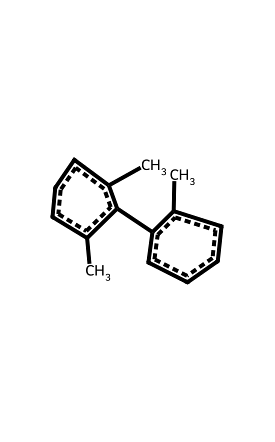 Cc1ccccc1-c1c(C)cccc1C